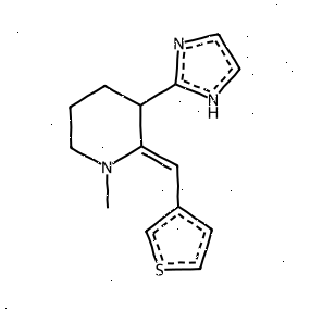 CN1CCCC(c2ncc[nH]2)C1=Cc1ccsc1